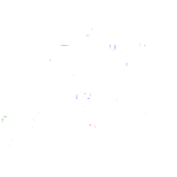 O=C(Nc1cc(Br)cc2c1C(c1cc(F)ccc1Cl)NC2=O)c1ccc(C(F)F)cc1